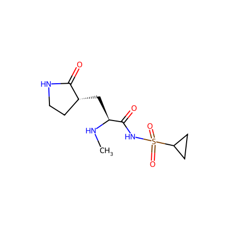 CN[C@@H](C[C@@H]1CCNC1=O)C(=O)NS(=O)(=O)C1CC1